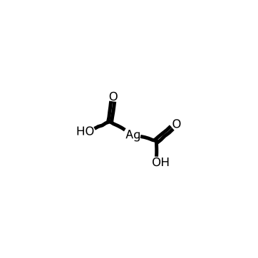 O=[C](O)[Ag][C](=O)O